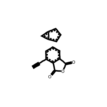 C#Cc1cccc2c1C(=O)OC2=O.c1cc2cc-2c1